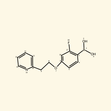 OB(O)c1ccc(OCCc2ccccn2)cc1F